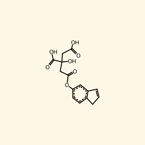 O=C(O)CC(O)(CC(=O)Oc1ccc2c(c1)C=CC2)C(=O)O